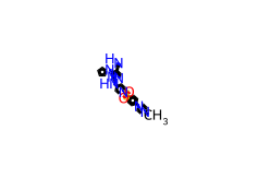 CN1CCN(c2ccc(S(=O)(=O)N3CCC(Nc4ncc(C#N)c(NC5CCCC5)n4)CC3)cc2)CC1